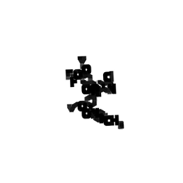 CN1CCN(C(=O)c2ccc(C(=O)O[C@@H](Cc3c(Cl)cncc3Cl)c3ccc(OC(F)F)c(OCC4CC4)c3)cc2OCC2CC2)CC1